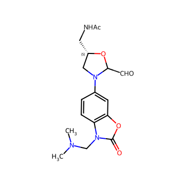 CC(=O)NC[C@H]1CN(c2ccc3c(c2)oc(=O)n3CN(C)C)C(C=O)O1